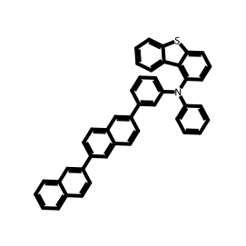 c1ccc(N(c2cccc(-c3ccc4cc(-c5ccc6ccccc6c5)ccc4c3)c2)c2cccc3sc4ccccc4c23)cc1